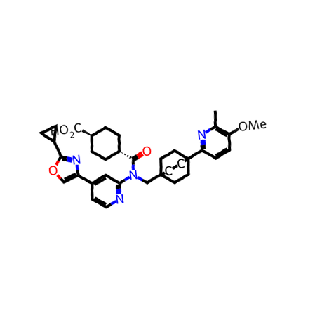 COc1ccc(C23CCC(CN(c4cc(-c5coc(C6CC6)n5)ccn4)C(=O)[C@H]4CC[C@H](C(=O)O)CC4)(CC2)CC3)nc1C